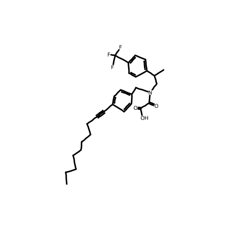 CCCCCCCCC#Cc1ccc(CN(CC(C)c2ccc(C(F)(F)F)cc2)C(=O)C(=O)O)cc1